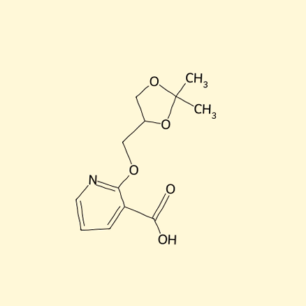 CC1(C)OCC(COc2ncccc2C(=O)O)O1